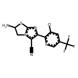 N#Cc1c(-c2ncc(C(F)(F)F)cc2Cl)nc2n1CC(N)S2